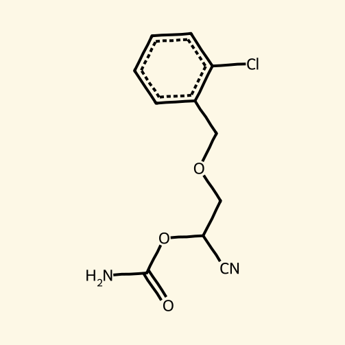 N#CC(COCc1ccccc1Cl)OC(N)=O